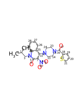 CC(C)Cn1c(=O)c([N+](=O)[O-])c(N2CCN(C(=O)c3cccs3)CC2)c2ccccc21